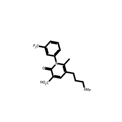 CSCCCc1cc(C(=O)O)c(=O)n(-c2cccc(C(F)(F)F)c2)c1C